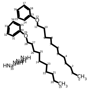 CCCCCCCCCCCCOc1ccccc1.CCCCCCCCCCOc1ccccc1.[NaH].[NaH].[NaH].[NaH]